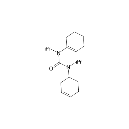 CC(C)N(C(=O)N(C(C)C)C1CC=CCC1)C1=CCCCC1